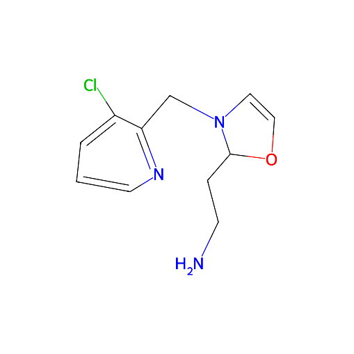 NCCC1OC=CN1Cc1ncccc1Cl